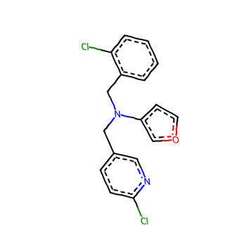 Clc1ccc(CN(Cc2ccccc2Cl)c2ccoc2)cn1